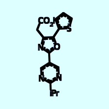 CC(C)c1ncc(-c2nc(CC(=O)O)c(-c3cccs3)o2)cn1